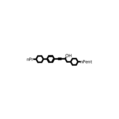 CCCCCC1CCC(CC(O)C#Cc2ccc(C3CCC(CCC)CC3)cc2)CC1